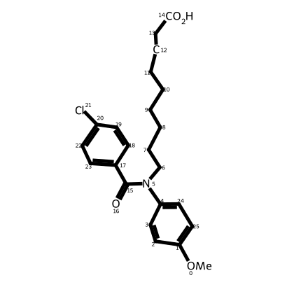 COc1ccc(N(CCCCCCCCC(=O)O)C(=O)c2ccc(Cl)cc2)cc1